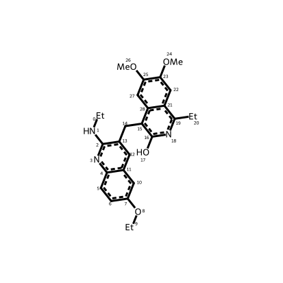 CCNc1nc2ccc(OCC)cc2cc1Cc1c(O)nc(CC)c2cc(OC)c(OC)cc12